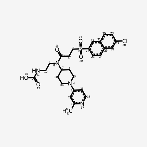 Cc1cc(N2CCC(N(CCNC(=O)O)C(=O)CCS(=O)(=O)c3ccc4cc(Cl)ccc4c3)CC2)ccn1